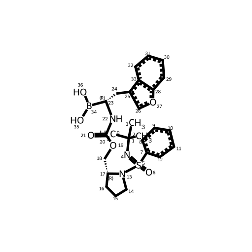 CC(C)(C)N=S(=O)(c1ccccc1)N1CCC[C@@H]1COC(=O)N[C@@H](Cc1coc2ccccc12)B(O)O